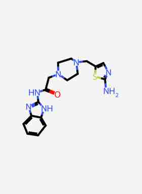 Nc1ncc(CN2CCN(CC(=O)Nc3nc4ccccc4[nH]3)CC2)s1